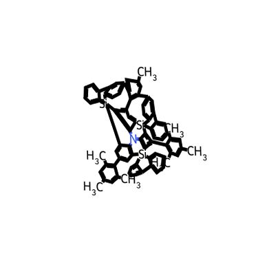 Cc1cc(C)c(-c2cc3c4c(c2)[Si]25c6ccccc6-c6cc(ccc62)-c2cc(C)cc6c2-c2cc5c5c(c2)[Si]2(c7ccccc7-c7cc-6ccc72)c2cc(-c6c(C)cc(C)cc6C)cc(c2N45)[Si]32c3ccccc3-c3ccccc32)c(C)c1